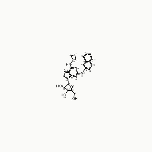 OCC1OC(n2cnc3c(NC4CCC4)nc(Nc4ccc5ncccc5c4)nc32)C(O)C1O